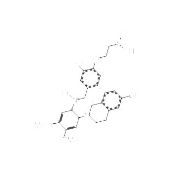 CCN(Cc1ccc(OCCN(C)C)c(F)c1)C1C=C(OC)C(OC)=CC1[C@@H]1CCc2cc(O)ccc2C1